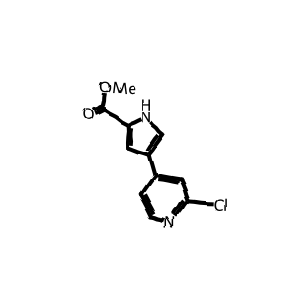 COC(=O)c1cc(-c2ccnc(Cl)c2)c[nH]1